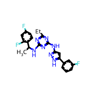 CCc1nc(Nc2cc(-c3cccc(F)c3)[nH]n2)nc(NC(C)c2ccc(F)cc2F)n1